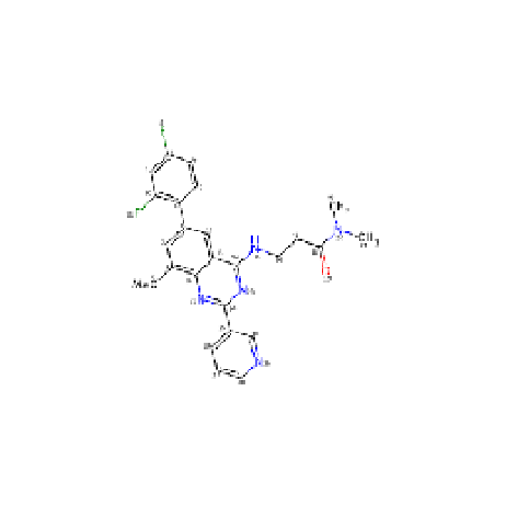 COc1cc(-c2ccc(F)cc2F)cc2c(NCCC(=O)N(C)C)nc(-c3cccnc3)nc12